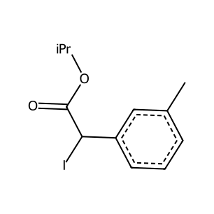 Cc1cccc(C(I)C(=O)OC(C)C)c1